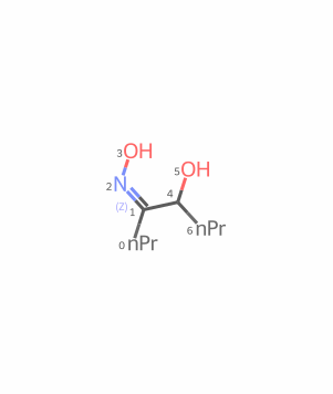 CCC/C(=N/O)C(O)CCC